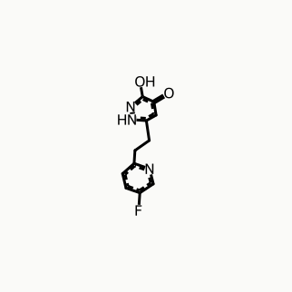 O=c1cc(CCc2ccc(F)cn2)[nH]nc1O